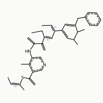 C=C(Nc1cncc(C(=C)S/C(C)=C\C)c1C)C(=C)/C(=C/C(=C\C)C1=CC(C)C(C)C(Cc2ccccc2)=C1)CC